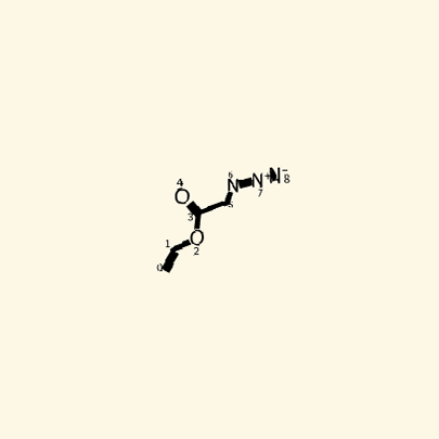 C=COC(=O)CN=[N+]=[N-]